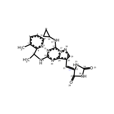 Cc1cccnc1C(C)Nc1nc(NC2CC2)n2ncc(/C=C3\NC(=O)NC3=O)c2n1